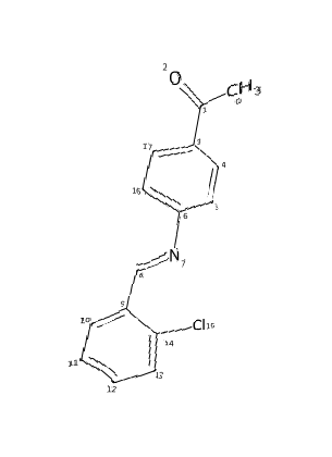 CC(=O)c1ccc(/N=C/c2ccccc2Cl)cc1